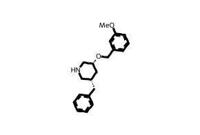 COc1cccc(CO[C@H]2CNC[C@@H](Cc3ccccc3)C2)c1